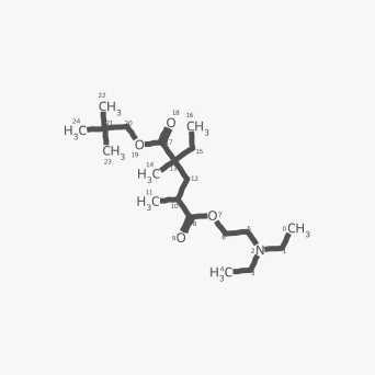 CCN(CC)CCOC(=O)C(C)CC(C)(CC)C(=O)OCC(C)(C)C